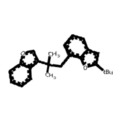 CC(C)(C)c1cc2cccc(CC(C)(C)c3coc4ccccc34)c2o1